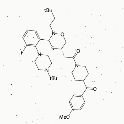 COc1ccc(C(=O)C2CCN(C(=O)C[C@H]3CON(CCC(C)(C)C)C(c4cccc(F)c4N4CCN(C(C)(C)C)CC4)S3)CC2)cc1